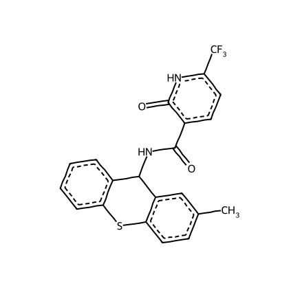 Cc1ccc2c(c1)C(NC(=O)c1ccc(C(F)(F)F)[nH]c1=O)c1ccccc1S2